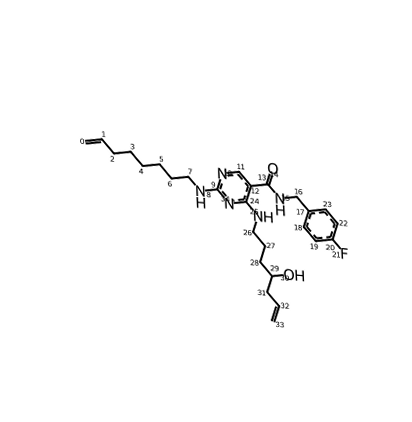 C=CCCCCCCNc1ncc(C(=O)NCc2ccc(F)cc2)c(NCCCC(O)CC=C)n1